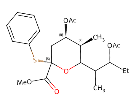 CCC(OC(C)=O)C(C)C1O[C@@](Sc2ccccc2)(C(=O)OC)C[C@@H](OC(C)=O)[C@H]1C